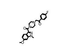 COc1ccc2c(C(=O)N3CCN(CC(=O)c4ccc(F)cc4)CC3)nn(C)c2c1